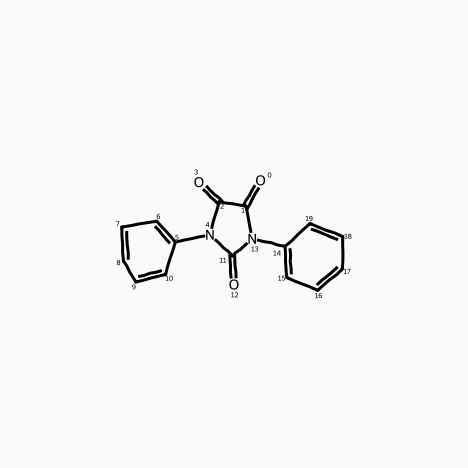 O=C1C(=O)N(c2ccccc2)C(=O)N1c1ccccc1